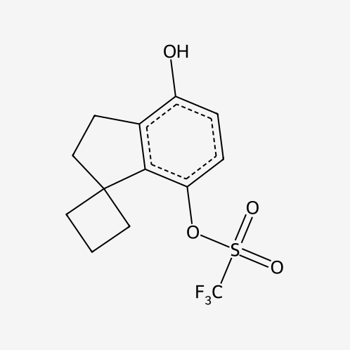 O=S(=O)(Oc1ccc(O)c2c1C1(CCC1)CC2)C(F)(F)F